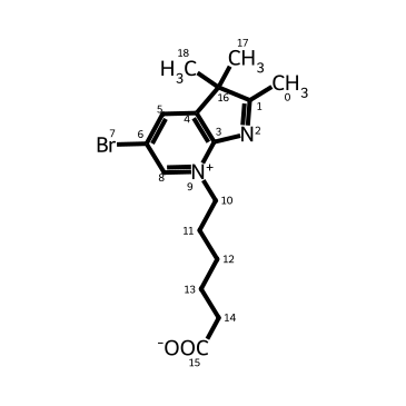 CC1=Nc2c(cc(Br)c[n+]2CCCCCC(=O)[O-])C1(C)C